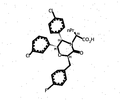 CCC[C@@H](C(=O)O)N1C(=O)[C@@H](Cc2ccc(F)cc2)O[C@H](c2cccc(Cl)c2)[C@@H]1c1ccc(Cl)cc1